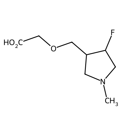 CN1CC(F)C(COCC(=O)O)C1